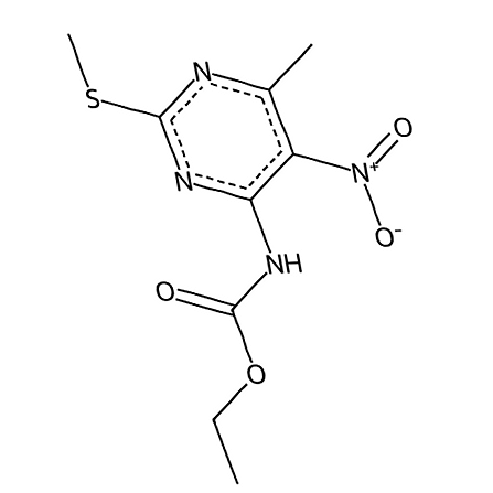 CCOC(=O)Nc1nc(SC)nc(C)c1[N+](=O)[O-]